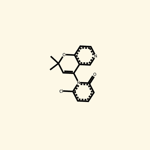 CC1(C)C=C(n2c(Cl)cccc2=O)c2cnccc2O1